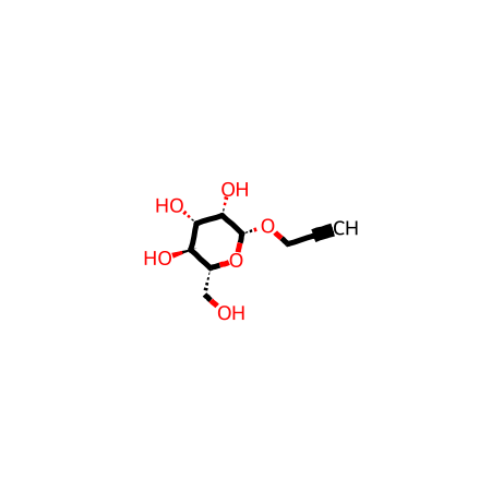 C#CCO[C@@H]1O[C@H](CO)[C@@H](O)[C@H](O)[C@@H]1O